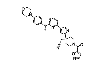 N#CCC1(n2cc(-c3ccnc(Nc4ccc(N5CCOCC5)cc4)n3)cn2)CCN(C(=O)c2ccno2)CC1